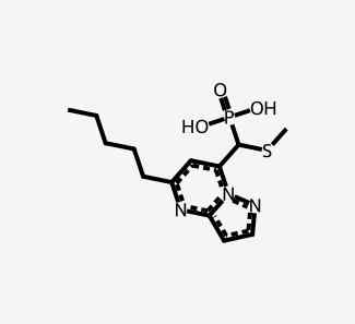 CCCCCc1cc(C(SC)P(=O)(O)O)n2nccc2n1